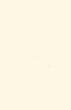 CC1N(c2nccs2)C=CC1(C)C=O